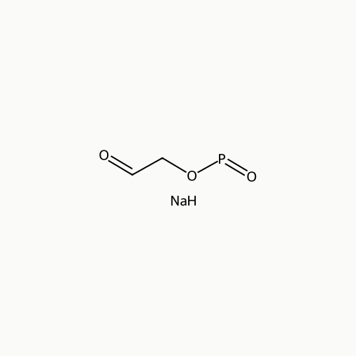 O=CCOP=O.[NaH]